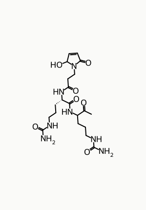 CC(=O)C(CCCNC(N)=O)NC(=O)[C@H](CCCNC(N)=O)NC(=O)CCN1C(=O)C=CC1O